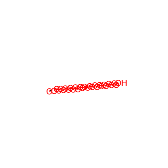 O=COOOOOOOOOOOOOOOOOOOOOOOOOOOO